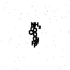 NC1COc2c(cccc2Oc2ccc(C(F)(F)F)nc2)C1